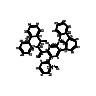 C=C(c1nc2c(cc1-c1cccc[n+]1C)c1cccc3c4ccccc4n2c31)C1C(C)c2ccccc2-c2cccc[n+]21